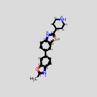 Cc1nc2ccc(-c3ccc4nc(C5CCNCC5)sc4c3)cc2o1